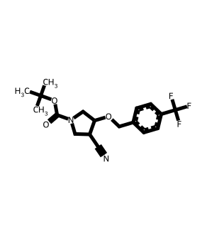 CC(C)(C)OC(=O)N1CC(C#N)C(OCc2ccc(C(F)(F)F)cc2)C1